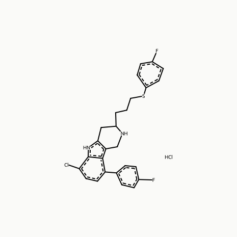 Cl.Fc1ccc(SCCCC2Cc3[nH]c4c(Cl)ccc(-c5ccc(F)cc5)c4c3CN2)cc1